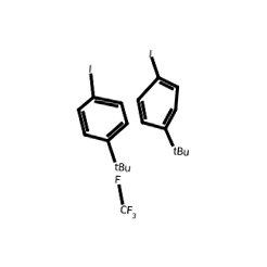 CC(C)(C)c1ccc(I)cc1.CC(C)(C)c1ccc(I)cc1.FC(F)(F)F